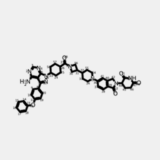 Nc1ncnc2c1c(-c1ccc(Oc3ccccc3)cc1)nn2C1CCC(C(=O)N2CC(C3CCN(c4ccc5c(c4)CN(C4CCC(=O)NC4=O)C5=O)CC3)C2)CC1